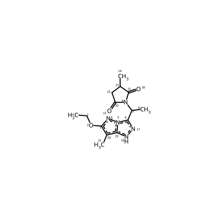 CCOc1nn2c(C(C)N3C(=O)CC(C)C3=O)n[nH]c2c1C